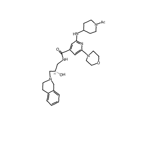 CC(=O)N1CCC(Nc2cc(C(=O)NC[C@H](O)CN3CCc4ccccc4C3)cc(N3CCOCC3)n2)CC1